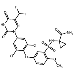 COc1ccc(Oc2c(Cl)cc(-n3nc(C(F)F)c(=O)[nH]c3=O)cc2Cl)cc1S(=O)(=O)NC1(C(N)=O)CC1